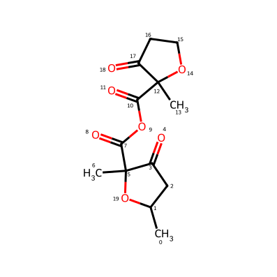 CC1CC(=O)C(C)(C(=O)OC(=O)C2(C)OCCC2=O)O1